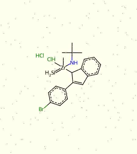 CC(C)(C)[NH][Zr]([CH3])([CH3])(=[SiH2])[CH]1C(c2ccc(Br)cc2)=Cc2ccccc21.Cl.Cl